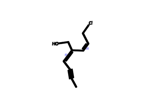 CC#C/C=C(\C=C/CCl)CO